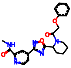 CNC(=O)c1cc(-c2noc(C3CCCCN3C(=O)COc3ccccc3)n2)ccn1